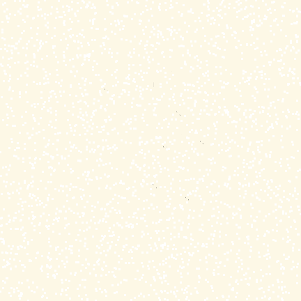 NCC1CCC(Cn2c(-c3ccccc3Cl)nc3cnc(NCc4ccccc4F)nc32)CC1